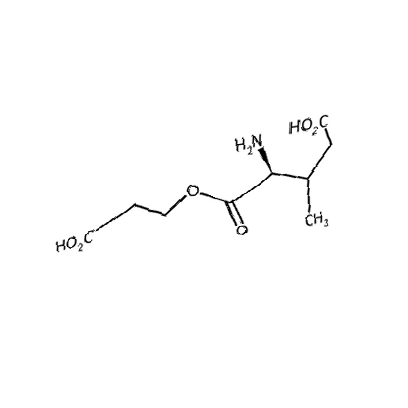 CC(CC(=O)O)[C@H](N)C(=O)OCCC(=O)O